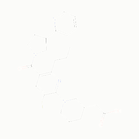 CCCc1nc(N2CCC[C@@H](CC(=O)O)C2)c(S)cc1C(=O)N1CCC(c2ccccn2)C1